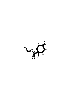 CC1(C(=O)OC=O)CCC(Cl)CC1